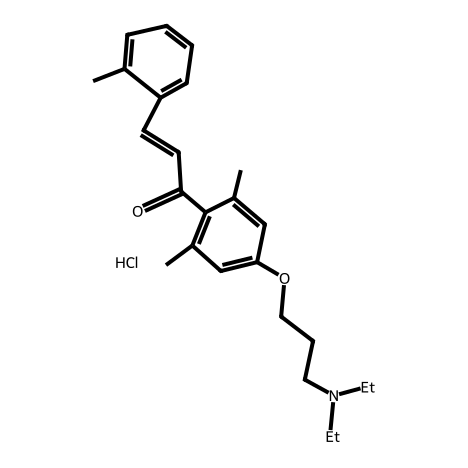 CCN(CC)CCCOc1cc(C)c(C(=O)C=Cc2ccccc2C)c(C)c1.Cl